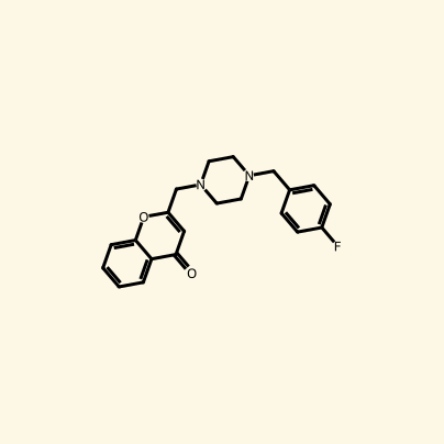 O=c1cc(CN2CCN(Cc3ccc(F)cc3)CC2)oc2ccccc12